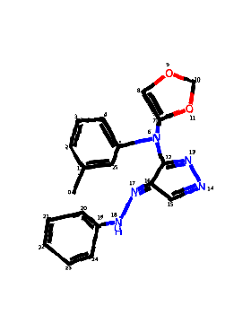 Cc1cccc(N(C2=COCO2)C2=NN=CC2=NNc2ccccc2)c1